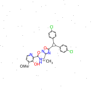 COc1ccnc(C(=O)N[C@@H](C)c2noc(C3C(c4ccc(Cl)cc4)C3c3ccc(Cl)cc3)n2)c1O